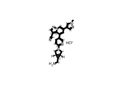 Cl.Cn1cc(-c2cc(-c3ccc(N4C[C@@H]5C(CN)[C@@H]5C4)nc3)c3c(C#N)cnn3c2)cn1